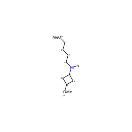 COCCCCN(C)C1CC(OC)C1